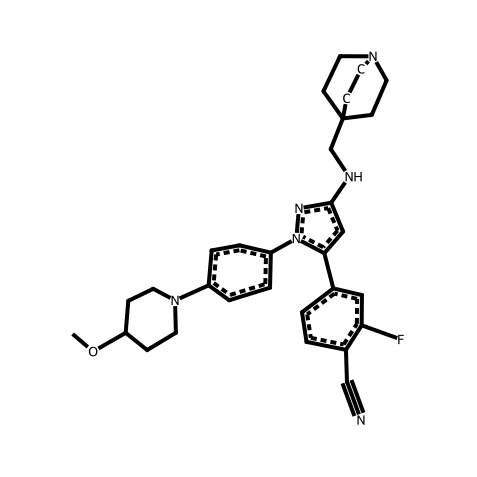 COC1CCN(c2ccc(-n3nc(NCC45CCN(CC4)CC5)cc3-c3ccc(C#N)c(F)c3)cc2)CC1